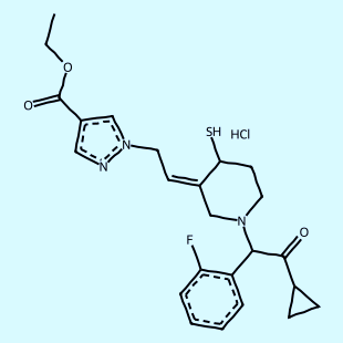 CCOC(=O)c1cnn(CC=C2CN(C(C(=O)C3CC3)c3ccccc3F)CCC2S)c1.Cl